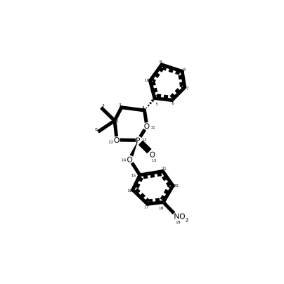 CC1(C)C[C@H](c2ccccc2)O[P@@](=O)(Oc2ccc([N+](=O)[O-])cc2)O1